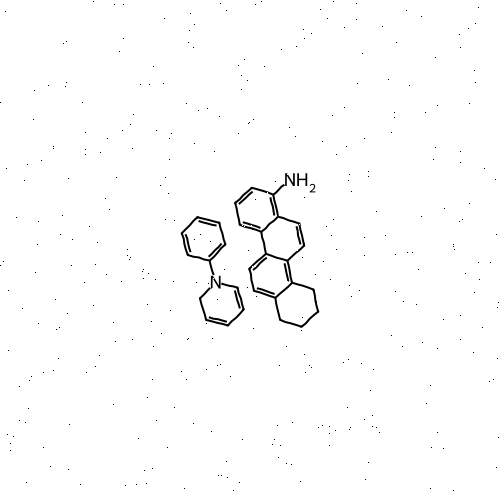 C1=CCN(c2ccccc2)C=C1.Nc1cccc2c1ccc1c3c(ccc12)CCCC3